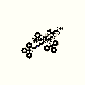 CC(C)[C@@H](NC(=O)[C@@H](CSC(c1ccccc1)(c1ccccc1)c1ccccc1)NC(=O)[C@@H](Cc1cccc(C(F)(F)F)c1)NC(=O)C[C@H](O)/C=C/CCSC(c1ccccc1)(c1ccccc1)c1ccccc1)[C@@H](O)CC(=O)O